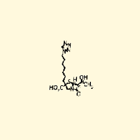 C[C@@H](O)[C@H]1C(=O)N2CC(CCCCCCCn3cnnn3)(C(=O)O)S[C@H]12